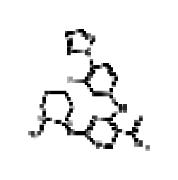 NC(=O)c1cnc(N[C@@H]2CCCC[C@@H]2N)nc1Nc1ccc(-n2nccn2)c(F)c1